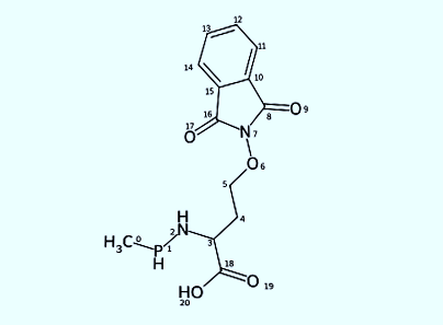 CPNC(CCON1C(=O)c2ccccc2C1=O)C(=O)O